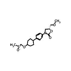 COC[C@H]1CN(c2ccc(C3CCC(OC[S+](C)[O-])CC3)cc2)C(=O)O1